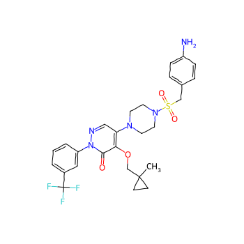 CC1(COc2c(N3CCN(S(=O)(=O)Cc4ccc(N)cc4)CC3)cnn(-c3cccc(C(F)(F)F)c3)c2=O)CC1